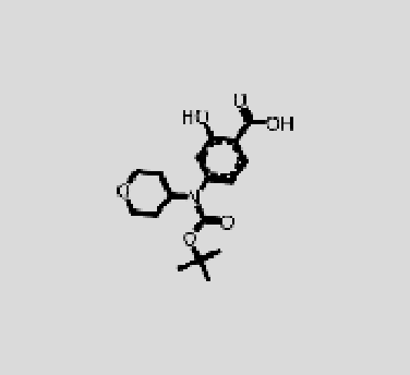 CC(C)(C)OC(=O)N(c1ccc(C(=O)O)c(O)c1)C1CCOCC1